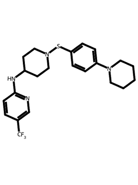 FC(F)(F)c1ccc(NC2CCN(Sc3ccc(N4CCCCC4)cc3)CC2)nc1